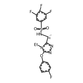 CCn1c(Oc2ccc(F)cc2)nnc1[C@@H](C)NS(=O)(=O)c1cc(F)c(F)c(F)c1